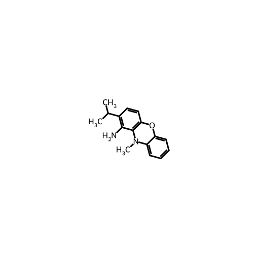 CC(C)c1ccc2c(c1N)N(C)c1ccccc1O2